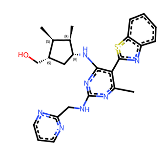 Cc1nc(NCc2ncccn2)nc(N[C@@H]2C[C@H](CO)[C@@H](C)[C@H]2C)c1-c1nc2ccccc2s1